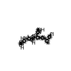 Cc1cc(S(=O)(=O)NC(=O)c2ccc(N3CCN(CC4=C(c5ccc(Cl)cc5)CC(C)(C)CC4)CC3)cc2Oc2cnc3[nH]ccc3c2)ccc1N[C@H]1CC[C@H](NS(C)(=O)=O)CC1